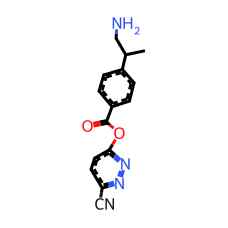 CC(CN)c1ccc(C(=O)Oc2ccc(C#N)nn2)cc1